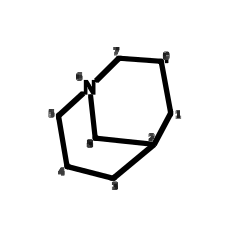 [CH]1CC2CCCN(C1)C2